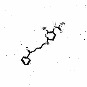 CCCC(=O)Nc1ccc(NCCCCC(=O)c2ccccc2)nc1C#N